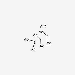 CC(=O)CC(C)=O.CC(=O)CC(C)=O.CC(=O)CC(C)=O.[Al+3]